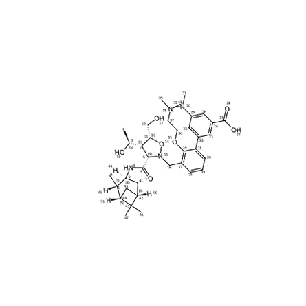 C[C@@H]1[C@@H](NC(=O)[C@@H]2[C@H]([C@H](C)O)[C@H](CO)ON2Cc2cccc(-c3cc(C(=O)O)cc(N(C)C)c3)c2OCCN(C)C)C[C@H]2C[C@@H]1C2(C)C